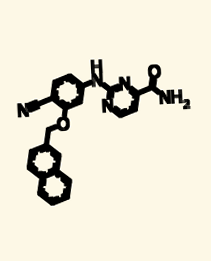 N#Cc1ccc(Nc2nccc(C(N)=O)n2)cc1OCc1ccc2ccccc2c1